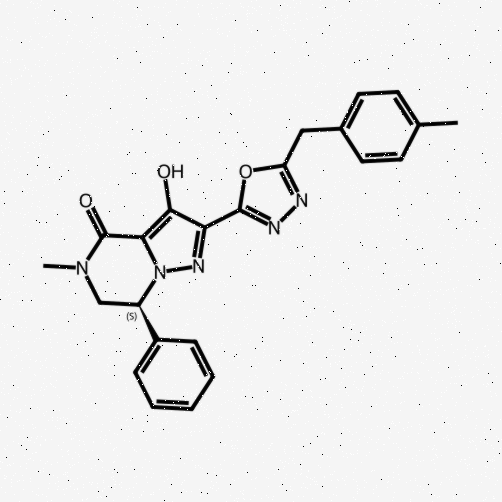 Cc1ccc(Cc2nnc(-c3nn4c(c3O)C(=O)N(C)C[C@@H]4c3ccccc3)o2)cc1